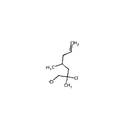 C=CCC(C)CC(C)(Cl)C[O]